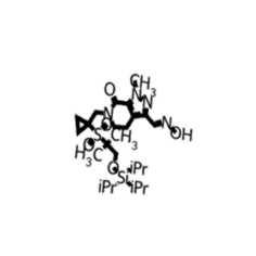 CC(C)[Si](OCC(C)(C)S(=O)(=O)C1(CN2CCc3c(C=NO)nn(C)c3C2=O)CC1)(C(C)C)C(C)C